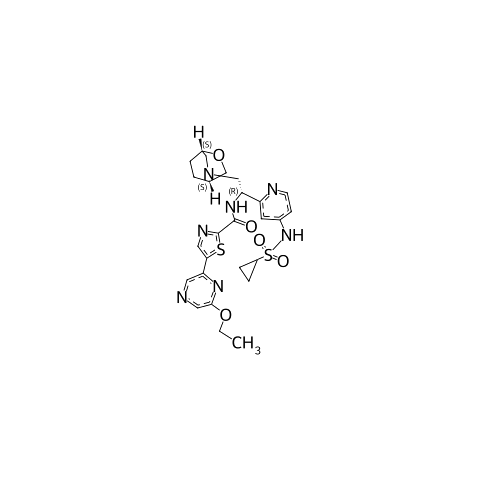 CCOc1cncc(-c2cnc(C(=O)N[C@H](CN3C[C@@H]4CC[C@H]3CO4)c3cc(NS(=O)(=O)C4CC4)ccn3)s2)n1